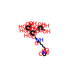 O=C(CCCCCC(=O)ON1C(=O)CCC1=O)NCCO[C@@H]1O[C@H](CO[C@H]2O[C@H](CO)[C@@H](O)[C@H](O)[C@@H]2O)[C@@H](O)[C@H](O[C@H]2O[C@H](CO)[C@@H](O)[C@H](O)[C@@H]2O)[C@@H]1O